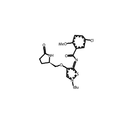 COc1ccc(Cl)cc1C(=O)N=c1sn(C(C)(C)C)cc1OC[C@H]1CCC(=O)N1